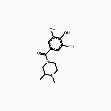 CC1CN(C(=O)c2cc(O)c(O)c(O)c2)CCN1C